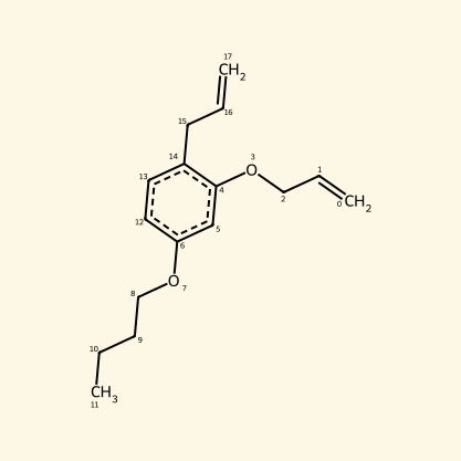 C=CCOc1cc(OCCCC)ccc1CC=C